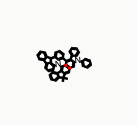 CC1(C)c2ccccc2-c2c(N3c4cccc5c4C(C)(c4ccccc4-5)c4cccc(-c5cccc6c5c5ccccc5n6-c5ccccc5)c43)cccc21